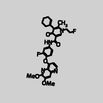 COc1cc2nccc(Oc3ccc(NC(=O)c4cn(CCF)c(C)c(C5=CCCCC5)c4=O)cc3F)c2nc1OC